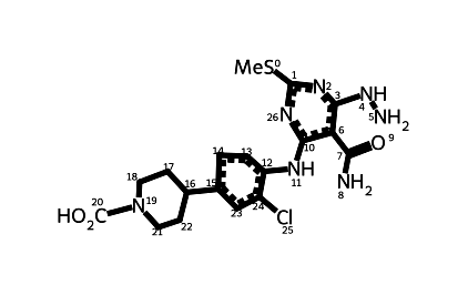 CSc1nc(NN)c(C(N)=O)c(Nc2ccc(C3CCN(C(=O)O)CC3)cc2Cl)n1